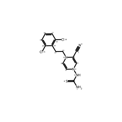 N#CC1=CN(NC(N)=S)C=CN1CCc1c(Cl)cccc1Cl